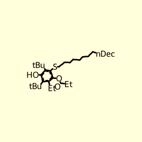 CCCCCCCCCCCCCCCCCCSc1c(OC(=O)CC)c(CC)c(C(C)(C)C)c(O)c1C(C)(C)C